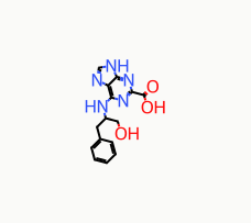 O=C(O)c1nc(NC(CO)Cc2ccccc2)c2nc[nH]c2n1